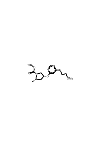 COCCOc1cc(O[C@@H]2C[C@@H](C)N(C(=O)OC(C)(C)C)C2)ncn1